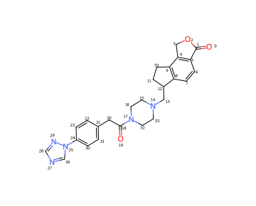 O=C1OCc2c1ccc1c2CCC1CN1CCN(C(=O)Cc2ccc(-n3cncn3)cc2)CC1